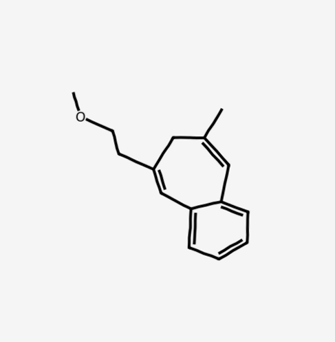 COCCC1=Cc2ccccc2C=C(C)C1